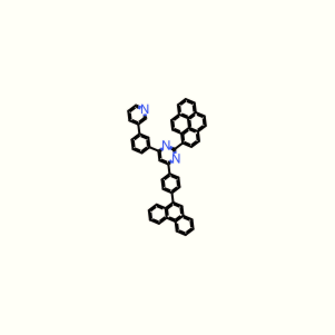 c1cncc(-c2cccc(-c3cc(-c4ccc(-c5cc6ccccc6c6ccccc56)cc4)nc(-c4ccc5ccc6cccc7ccc4c5c67)n3)c2)c1